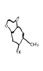 CCC1CC2OCOC2C=C1C